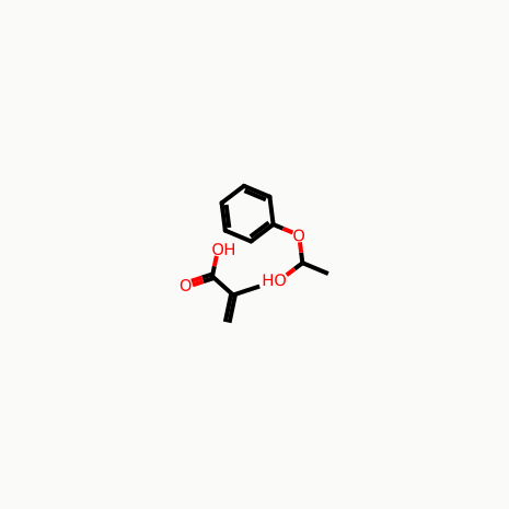 C=C(C)C(=O)O.CC(O)Oc1ccccc1